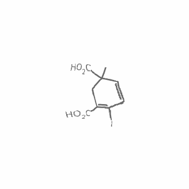 CC1(C(=O)O)C=CC(I)=C(C(=O)O)C1